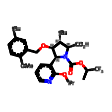 COc1ccc(C(C)(C)C)cc1CO[C@H]1[C@H](C(C)(C)C)[C@@H](C(=O)O)N(C(=O)OC(C)C(F)(F)F)[C@H]1c1cccnc1OC(C)C